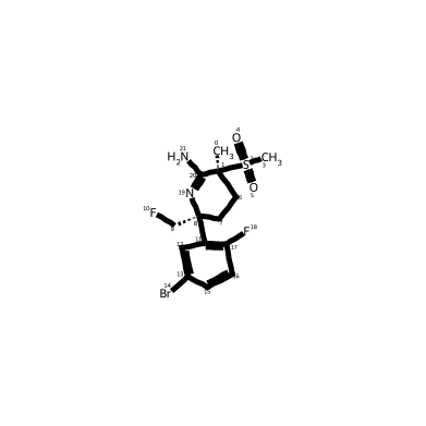 C[C@]1(S(C)(=O)=O)CC[C@@](CF)(c2cc(Br)ccc2F)N=C1N